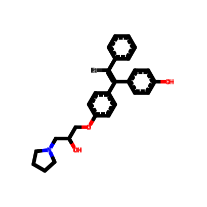 CCC(=C(c1ccc(O)cc1)c1ccc(OCC(O)CN2CCCC2)cc1)c1ccccc1